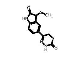 CSC1C(=O)Nc2ccc(C3=NNC(=O)SC3)cc21